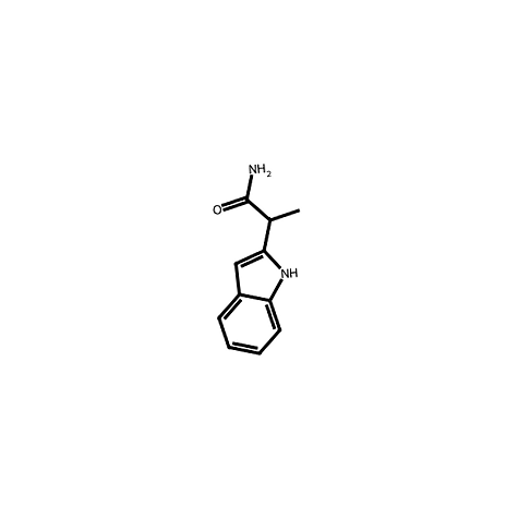 C[C](C(N)=O)c1cc2ccccc2[nH]1